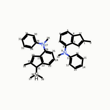 CC1=Cc2c(cccc2N(C)c2ccccc2)C1.CC1=Cc2c(cccc2N(C)c2ccccc2)C1[SiH](C)C